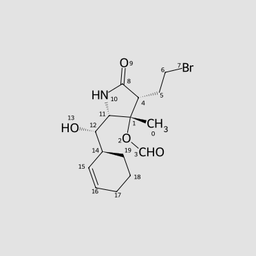 C[C@]1(OC=O)[C@@H](CCBr)C(=O)N[C@H]1[C@@H](O)[C@@H]1C=CCCC1